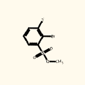 COS(=O)(=O)c1cccc(F)c1Br